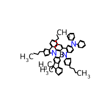 CCCCc1ccc(N2B3c4cc5c(cc4N(c4ccc(CCCC)cc4-c4ccccc4)c4cc(CCCC)cc(c43)-c3cc(N(c4ccccc4)c4ccccc4)ccc32)C(C)(C)c2ccccc2-5)cc1